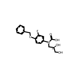 O=C(O)N(C[C@@H](O)CO)c1ccc(OCc2ccccc2)c(F)c1